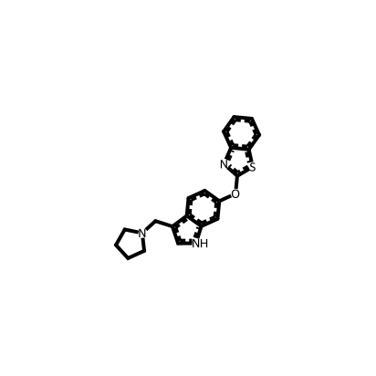 c1ccc2sc(Oc3ccc4c(CN5CCCC5)c[nH]c4c3)nc2c1